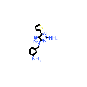 Nc1cccc(Cn2nnc3c(-c4cccs4)nc(N)nc32)c1